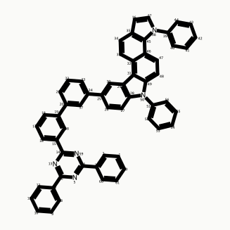 c1ccc(-c2nc(-c3ccccc3)nc(-c3cccc(-c4cccc(-c5ccc6c(c5)c5c7ccc8ccn(-c9ccccc9)c8c7ccc5n6-c5ccccc5)c4)c3)n2)cc1